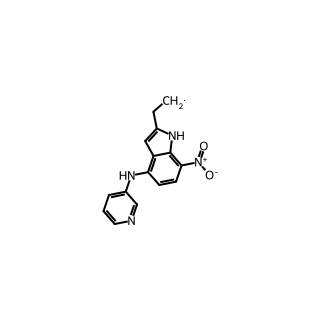 [CH2]Cc1cc2c(Nc3cccnc3)ccc([N+](=O)[O-])c2[nH]1